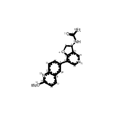 CCC(=O)N[C@@H]1COc2c(-c3ccc4nc(OC)ccc4c3)cncc21